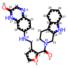 O=C(c1occc1CNc1ccc2ncc(=O)[nH]c2c1)N1CCc2c([nH]c3ccccc23)C1